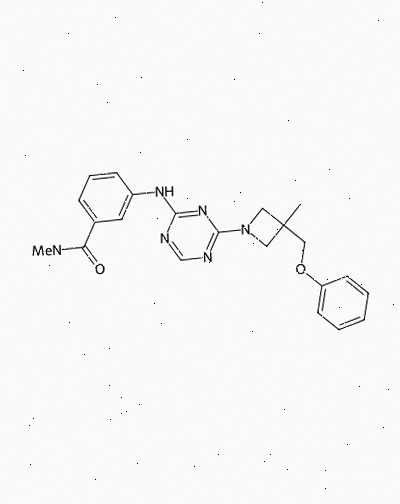 CNC(=O)c1cccc(Nc2ncnc(N3CC(C)(COc4ccccc4)C3)n2)c1